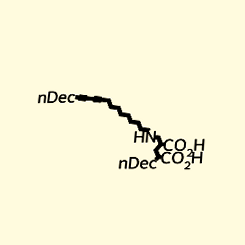 CCCCCCCCCCC#CC#CCCCCCCCCCNCC(CC(CCCCCCCCCC)C(=O)O)C(=O)O